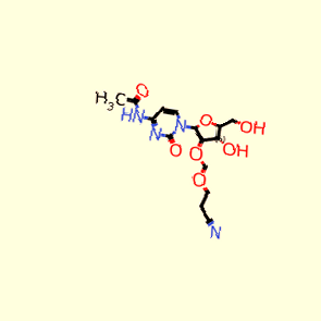 CC(=O)Nc1ccn(C2OC(CO)[C@H](O)C2OCOCCC#N)c(=O)n1